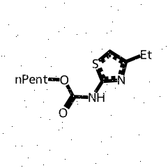 CCCCCOC(=O)Nc1nc(CC)cs1